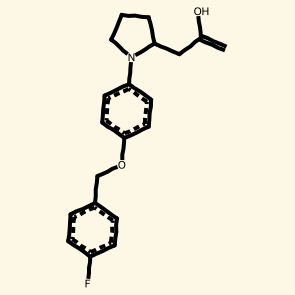 C=C(O)CC1CCCN1c1ccc(OCc2ccc(F)cc2)cc1